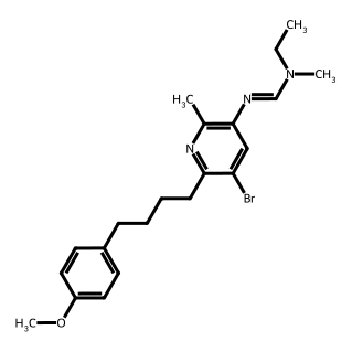 CCN(C)/C=N/c1cc(Br)c(CCCCc2ccc(OC)cc2)nc1C